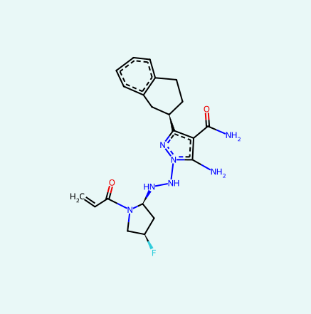 C=CC(=O)N1C[C@H](F)C[C@@H]1NNn1nc([C@@H]2CCc3ccccc3C2)c(C(N)=O)c1N